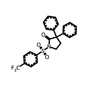 O=C1N(S(=O)(=O)c2ccc(C(F)(F)F)cc2)CCC1(c1ccccc1)c1ccccc1